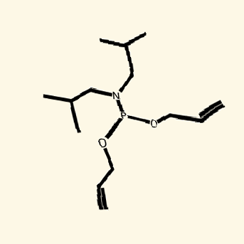 C=CCOP(OCC=C)N(CC(C)C)CC(C)C